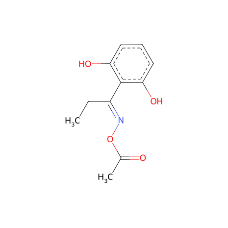 CCC(=NOC(C)=O)c1c(O)cccc1O